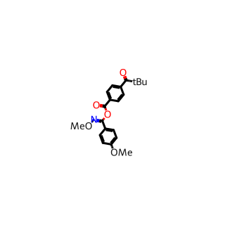 CON=C(OC(=O)c1ccc(C(=O)C(C)(C)C)cc1)c1ccc(OC)cc1